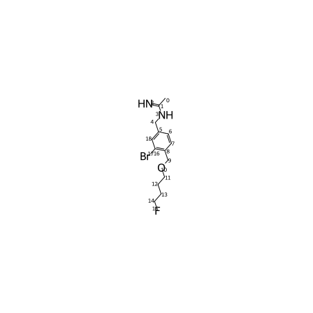 CC(=N)NCc1ccc(COCCCCF)c(Br)c1